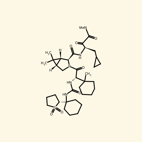 CNC(=O)C(=O)[C@@H](CC1CC1)NC(=O)[C@@H]1[C@@H]2[C@H](CN1C(=O)[C@@H](NC(=O)NC1([C@H]3CCCS3(=O)=O)CCCCC1)C1(C)CCCCC1)C2(C)C